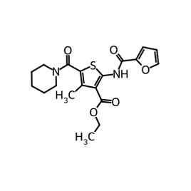 CCOC(=O)c1c(NC(=O)c2ccco2)sc(C(=O)N2CCCCC2)c1C